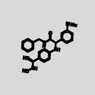 CC(=O)Nc1cccc(C(Nc2ccc(C(=N)NO)cc2)C(=O)NCc2ccccc2)c1